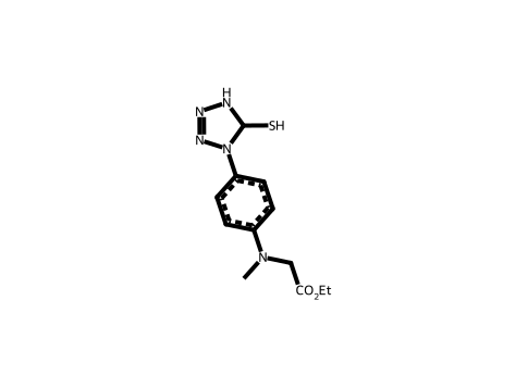 CCOC(=O)CN(C)c1ccc(N2N=NNC2S)cc1